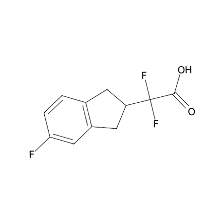 O=C(O)C(F)(F)C1Cc2ccc(F)cc2C1